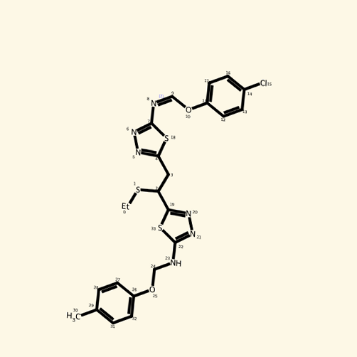 CCSC(Cc1nnc(/N=C\Oc2ccc(Cl)cc2)s1)c1nnc(NCOc2ccc(C)cc2)s1